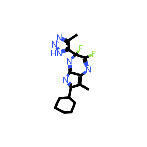 CC1=C2N=C(F)C(F)(c3[nH]nnc3C)N=C2N=C1C1CCCCC1